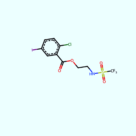 O=C(OCCNS(=O)(=O)C(F)(F)F)c1cc(I)ccc1Cl